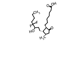 CCCCC(F)(F)C(O)CC[C@H]1[C@H](C)CC(=O)[C@@H]1CCCCCCC(=O)O